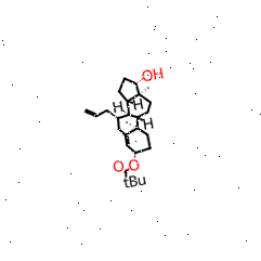 C=CC[C@@H]1CC2=C[C@@H](OC(=O)C(C)(C)C)CC[C@]2(C)[C@H]2CC[C@]3(C)[C@@H](O)CC[C@H]3[C@H]12